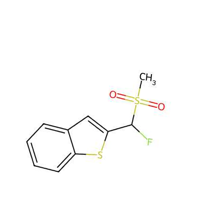 CS(=O)(=O)C(F)c1cc2ccccc2s1